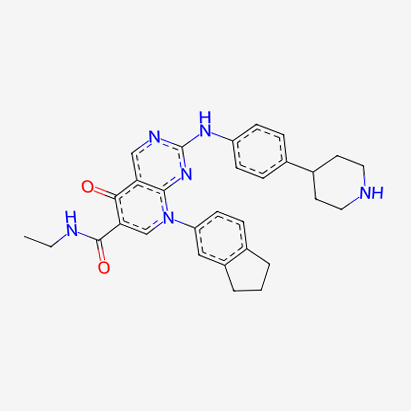 CCNC(=O)c1cn(-c2ccc3c(c2)CCC3)c2nc(Nc3ccc(C4CCNCC4)cc3)ncc2c1=O